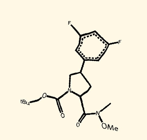 CON(C)C(=O)C1CC(c2cc(F)cc(F)c2)CN1C(=O)OC(C)(C)C